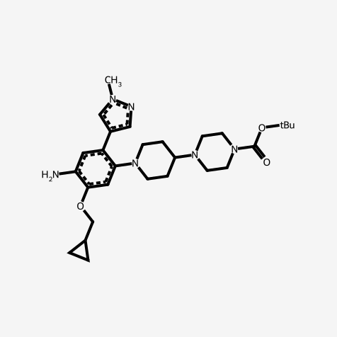 Cn1cc(-c2cc(N)c(OCC3CC3)cc2N2CCC(N3CCN(C(=O)OC(C)(C)C)CC3)CC2)cn1